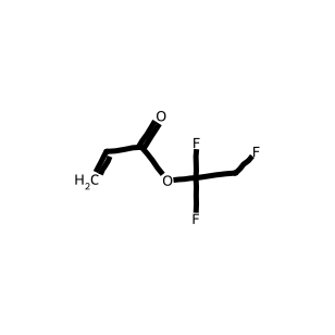 C=CC(=O)OC(F)(F)CF